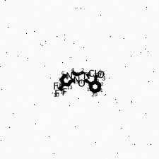 CN(Cc1cn2ccc(C(F)(F)F)cc2n1)C(=O)c1ccccc1C=O